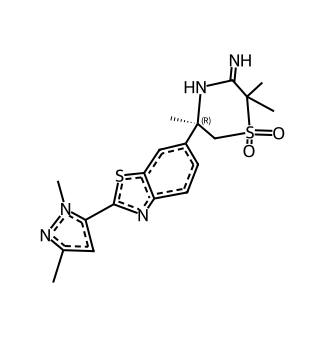 Cc1cc(-c2nc3ccc([C@]4(C)CS(=O)(=O)C(C)(C)C(=N)N4)cc3s2)n(C)n1